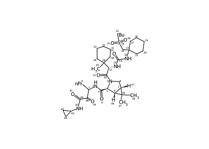 CCCC(NC(=O)[C@@H]1[C@@H]2[C@H](CN1C(=O)[C@@H](NC(=O)NC1(CS(=O)(=O)C(C)(C)C)CCCCC1)C1(C)CCCCC1)C2(C)C)C(=O)C(=O)NC1CC1